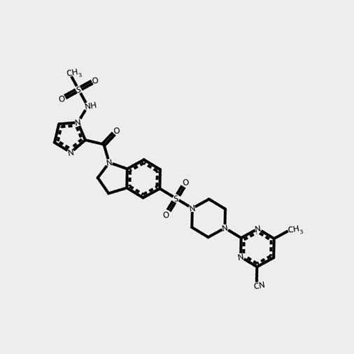 Cc1cc(C#N)nc(N2CCN(S(=O)(=O)c3ccc4c(c3)CCN4C(=O)c3nccn3NS(C)(=O)=O)CC2)n1